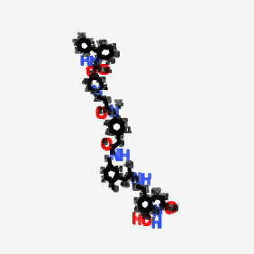 Cc1ccc(CNC(=O)Cc2ccc(N(C)C(=O)CCN3CCC(OC(=O)Nc4ccccc4-c4ccccc4)CC3)cc2)cc1CC(C)NCCc1ccc(O)c2[nH]c(=O)ccc12